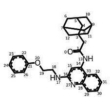 O=C(CC12CC3CC(CC(C3)C1)C2)Nc1cc(NCCOc2ccccc2)nc2ccccc12